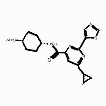 CO[C@H]1CC[C@H](NC(=O)c2cc(C3CC3)nc(-c3cncs3)n2)CC1